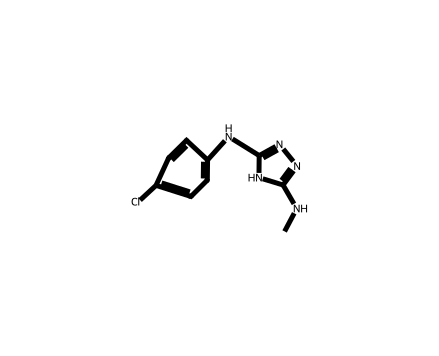 CNc1nnc(Nc2ccc(Cl)cc2)[nH]1